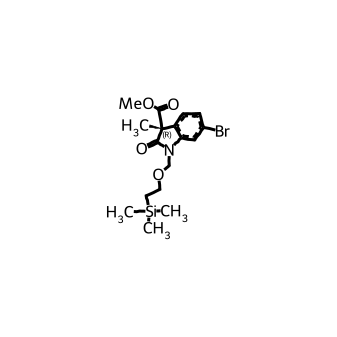 COC(=O)[C@@]1(C)C(=O)N(COCC[Si](C)(C)C)c2cc(Br)ccc21